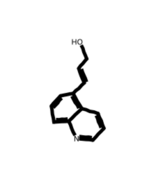 OCC=Cc1cccc2ncccc12